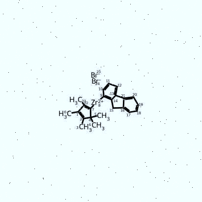 CC1=C(C)C(C)(C)[C]([Zr+2][c]2cccc3c2Cc2ccccc2-3)=C1C.[Br-].[Br-]